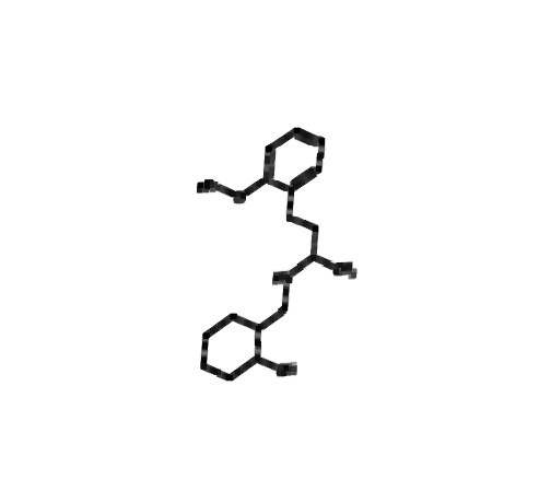 CCCOc1ccccc1CCC(C)NCC1CCCCC1O